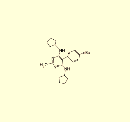 CCCCc1ccc(-c2c(NC3CCCC3)nc(C)nc2NC2CCCC2)cc1